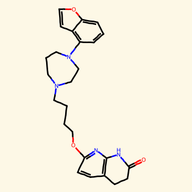 O=C1CCc2ccc(OCCCCN3CCCN(c4cccc5occc45)CC3)nc2N1